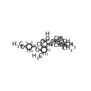 COc1ccc(COc2c(C)ccc(/C(=N/OC(C)(C)C(=O)OC(C)(C)C)C(=O)O)c2Cl)cc1